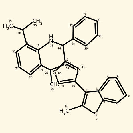 Cc1sc2ccccc2c1-c1csc(C(Nc2c(C(C)C)cccc2C(C)C)c2ccccc2)n1